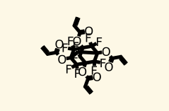 C=CC(=O)OC12C(F)C3(OC(=O)C=C)C(F)(F)C(OC(=O)C=C)(C(F)C(OC(=O)C=C)(C1(F)F)C3(F)F)C2(F)F